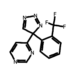 FC(F)(F)c1ccccc1C1(c2ccncn2)C=NN=N1